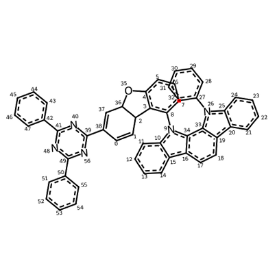 C1=CC2c3c(cccc3-n3c4ccccc4c4ccc5c6ccccc6n(-c6ccccc6)c5c43)OC2C=C1c1nc(-c2ccccc2)nc(-c2ccccc2)n1